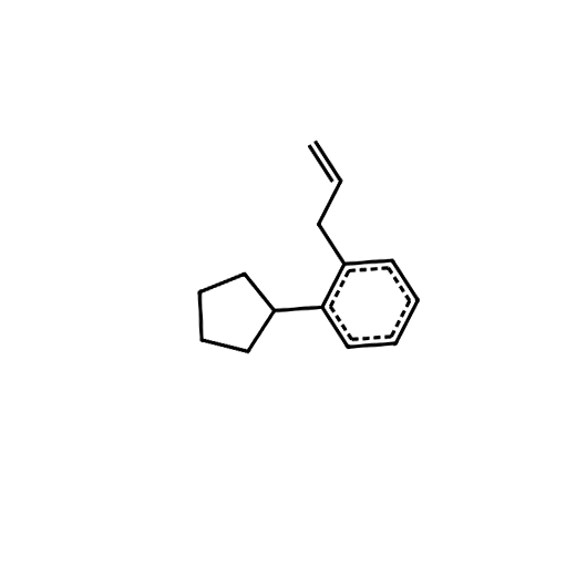 C=CCc1ccccc1C1CCCC1